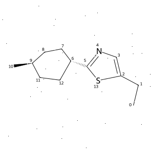 CCc1cnc([C@H]2CC[C@H](C)CC2)s1